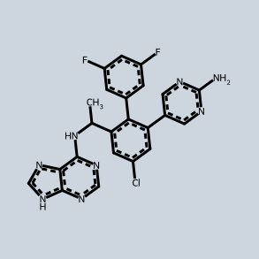 CC(Nc1ncnc2[nH]cnc12)c1cc(Cl)cc(-c2cnc(N)nc2)c1-c1cc(F)cc(F)c1